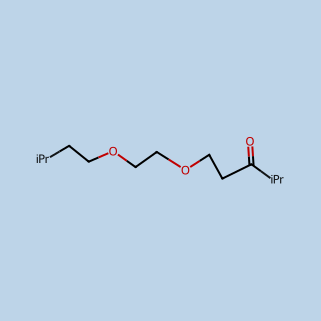 CC(C)CCOCCOCCC(=O)C(C)C